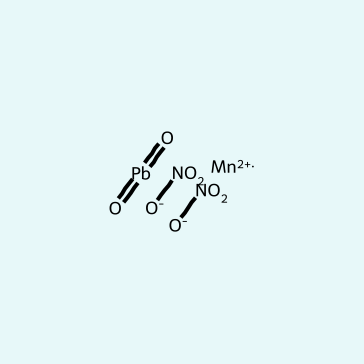 O=[N+]([O-])[O-].O=[N+]([O-])[O-].[Mn+2].[O]=[Pb]=[O]